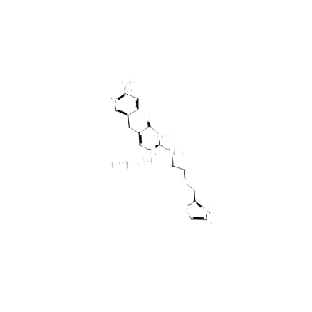 Cl.Cl.Cl.O=c1[nH]c(NCCSCc2nccs2)ncc1Cc1ccc(O)nc1